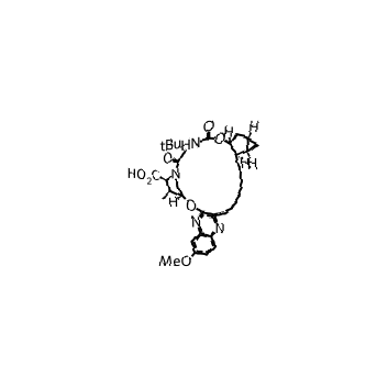 COc1ccc2nc3c(nc2c1)O[C@H]1CN(C(=O)[C@H](C(C)(C)C)NC(=O)O[C@@H]2C[C@@H]4C[C@@H]4[C@H]2CCCCC3)[C@H](C(=O)O)[C@@H]1C